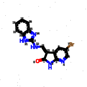 O=C1Nc2ncc(Br)cc2C1=CNc1nc2ccccc2[nH]1